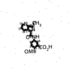 COc1ccc(NC(=O)c2nn(C)c3ncccc23)cc1C(=O)O